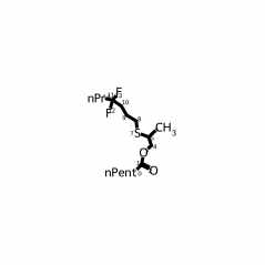 CCCCCC(=O)OCC(C)SCCCC(F)(F)CCC